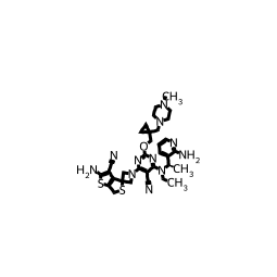 CCN(c1nc(OCC2(CN3CCN(C)CC3)CC2)nc(N2CC3(C2)SCc2sc(N)c(C#N)c23)c1C#N)[C@H](C)c1cccnc1N